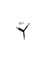 O=C([O-])[S-].[Zn+2]